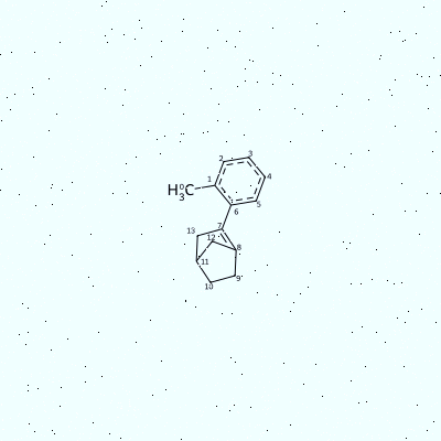 Cc1ccccc1C1=C2CCC(C2)C1